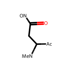 CNC(CC(=O)N=O)C(C)=O